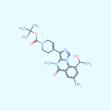 Cc1cc(C(C)O)c2c(c1)c(=O)n(C)c1c(C3=CCN(C(=O)OC(C)(C)C)CC3)ncn21